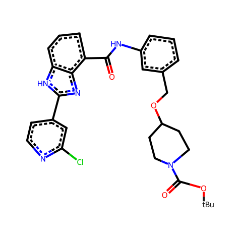 CC(C)(C)OC(=O)N1CCC(OCc2cccc(NC(=O)c3cccc4[nH]c(-c5ccnc(Cl)c5)nc34)c2)CC1